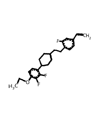 C=Cc1ccc(CCC2CCC(c3ccc(OCC)c(F)c3F)CC2)c(F)c1